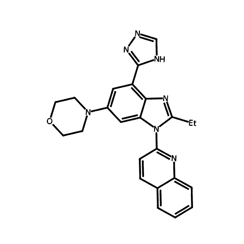 CCc1nc2c(-c3nnc[nH]3)cc(N3CCOCC3)cc2n1-c1ccc2ccccc2n1